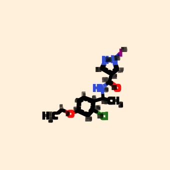 CCOc1ccc(C(C)NC(=O)c2cnn(I)c2)c(Cl)c1